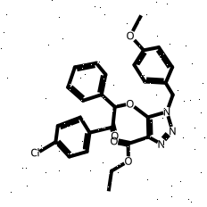 CCOC(=O)c1nnn(Cc2ccc(OC)cc2)c1OC(C(=O)c1ccc(Cl)cc1)c1ccccc1